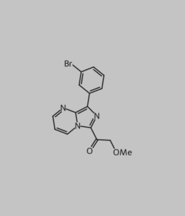 COCC(=O)c1nc(-c2cccc(Br)c2)c2ncccn12